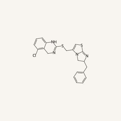 Clc1cccc2c1CN=C(SCC1=CSC3=NC(Cc4ccccc4)CN13)N2